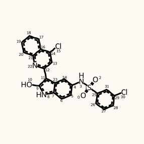 O=S(=O)(Nc1ccc2[nH]c(O)c(-c3cc(Cl)c4ccccc4n3)c2c1)c1cccc(Cl)c1